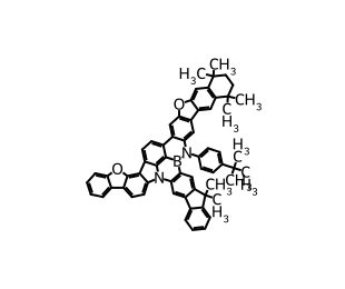 CC(C)(C)c1ccc(N2B3c4cc5c(cc4-n4c6ccc7c8ccccc8oc7c6c6ccc(c3c64)-c3cc4oc6cc7c(cc6c4cc32)C(C)(C)CCC7(C)C)-c2ccccc2C5(C)C)cc1